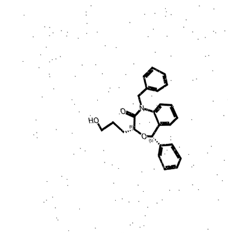 O=C1[C@@H](CCCO)O[C@@H](c2ccccc2)c2ccccc2N1Cc1ccccc1